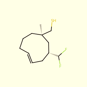 C[C@@]1(CS)CCC/C=C/C[C@@H](C(F)F)C1